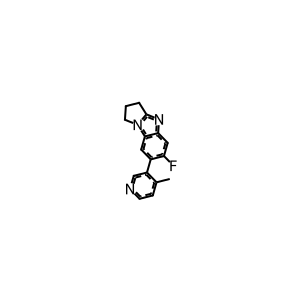 Cc1ccncc1-c1cc2c(cc1F)nc1n2CCC1